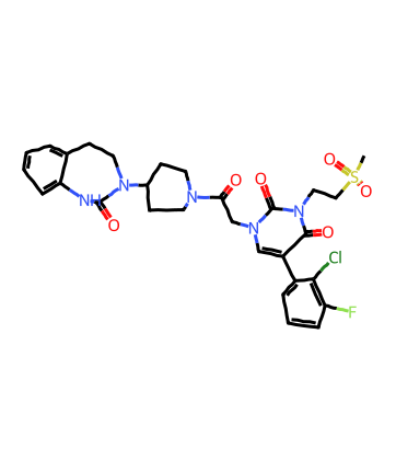 CS(=O)(=O)CCn1c(=O)c(-c2cccc(F)c2Cl)cn(CC(=O)N2CCC(N3CCc4ccccc4NC3=O)CC2)c1=O